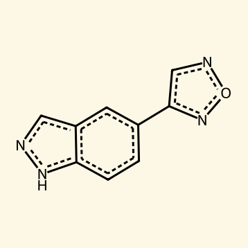 c1cc2[nH]ncc2cc1-c1cnon1